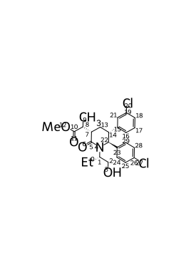 CC[C@@H](CO)N1C(=O)[C@H](C(C)C(=O)OC)C[C@H](c2cccc(Cl)c2)[C@H]1c1ccc(Cl)cc1